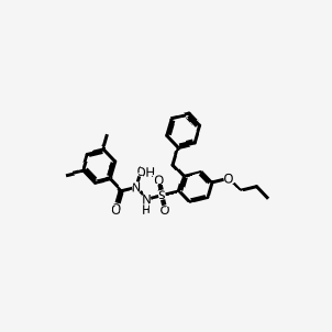 CCCOc1ccc(S(=O)(=O)NN(O)C(=O)c2cc(C)cc(C)c2)c(Cc2ccccc2)c1